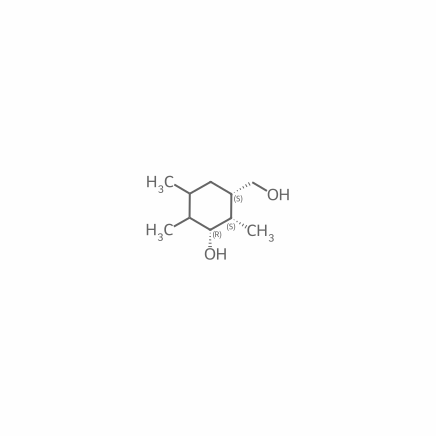 CC1C[C@H](CO)[C@H](C)[C@H](O)C1C